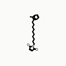 CC1C2C=CC(C2)C1CCCCCCCCCCN1C(=O)C=CC1=O